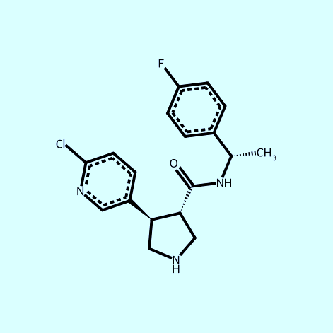 C[C@H](NC(=O)[C@@H]1CNC[C@H]1c1ccc(Cl)nc1)c1ccc(F)cc1